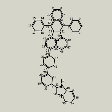 C1=CCCC(C2=c3ccccc3=C(C3=CC=CCC3)C3c4ccc(C5=CC=C(C6=CC=CC(C7CN8CCC=CC8N7)C6)CC5)c5cccc(c45)C23)=C1